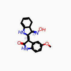 COc1ccc2c(c1)/C(=C1/NC3=CC=CCC3/C1=N\O)C(=O)N2